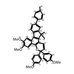 COc1ccc(C2(c3ccc(OC)cc3)C=Cc3c4c(c5cc(OC)c(OC)cc5c3O2)-c2ccc(-c3ccc(C)cc3)cc2C4(C)C)cc1